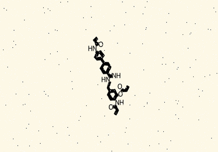 C=CC(=O)Nc1ccc(-c2ccc(C(=N)NCCc3ccc(NC(=O)C=C)c(OC(=O)C=C)c3)cc2)cc1